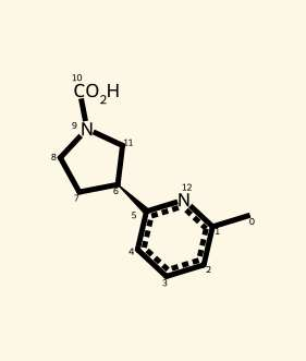 Cc1cccc([C@H]2CCN(C(=O)O)C2)n1